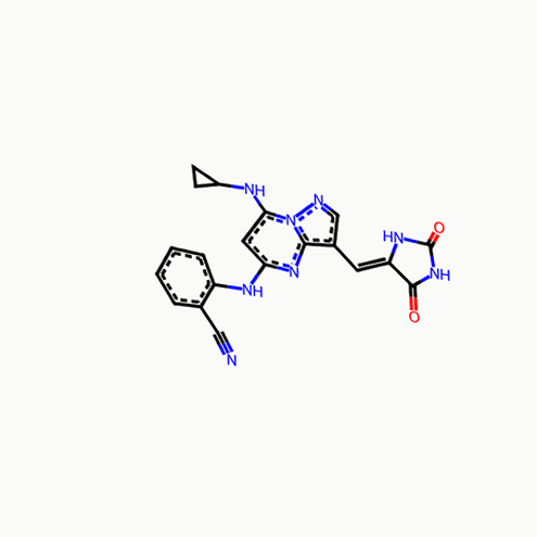 N#Cc1ccccc1Nc1cc(NC2CC2)n2ncc(/C=C3\NC(=O)NC3=O)c2n1